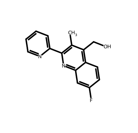 Cc1c(-c2ccccn2)nc2cc(F)ccc2c1CO